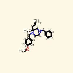 C=CCC1(C)CN(Cc2ccccc2)CCN1Cc1ccc(OC)cc1